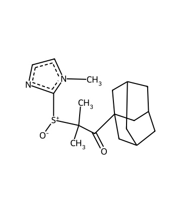 Cn1ccnc1[S+]([O-])C(C)(C)C(=O)C12CC3CC(CC(C3)C1)C2